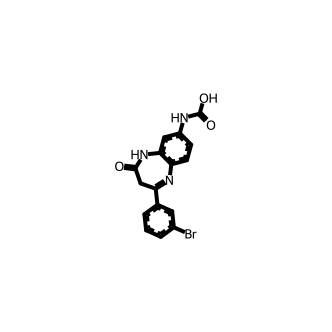 O=C(O)Nc1ccc2c(c1)NC(=O)CC(c1cccc(Br)c1)=N2